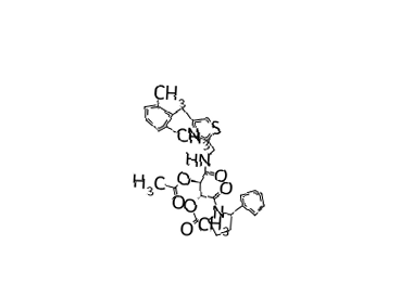 CC(=O)O[C@@H](C(=O)NCc1nc(Cc2c(C)cccc2C)cs1)[C@@H](OC(C)=O)C(=O)N1CCCC1c1ccccc1